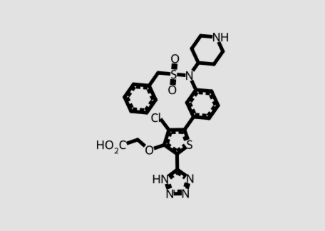 O=C(O)COc1c(-c2nnn[nH]2)sc(-c2cccc(N(C3CCNCC3)S(=O)(=O)Cc3ccccc3)c2)c1Cl